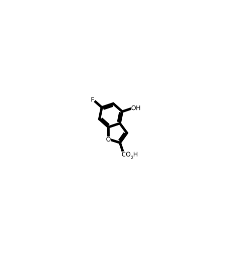 O=C(O)c1cc2c(O)cc(F)cc2o1